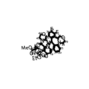 CCOP(=O)(NC1(C(=O)OC)CC1)Oc1c2n(ccc1=O)N(C1c3ccccc3N3CCOCC3c3c1ccc(F)c3F)C1COCCN1C2=O